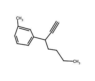 [C]#CC(CCCC)c1cccc(C)c1